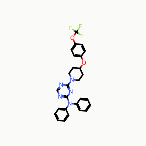 FC(F)(F)Oc1ccc(OC2CCN(c3ncnc(N(c4ccccc4)c4ccccc4)n3)CC2)cc1